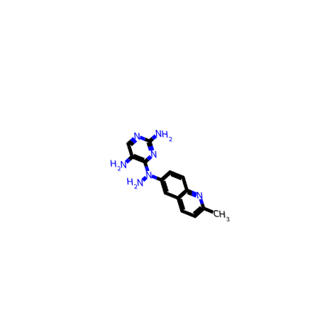 Cc1ccc2cc(N(N)c3nc(N)ncc3N)ccc2n1